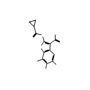 NC(=O)c1c(NC(=O)C2CC2)sc2c(Br)c(O)c(Br)cc12